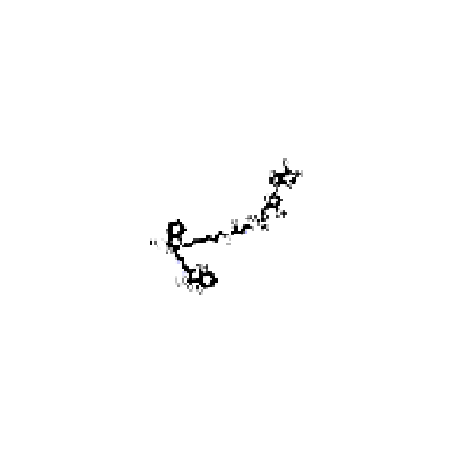 CC1(C)C(/C=C/C=C2\Nc3ccccc3C2(C)C)=[N+](CCCCCCNC(=O)/C=C/OP(=O)(O)OCC2OC(n3cnc4c(=O)[nH]cnc43)CC2O)c2ccccc21